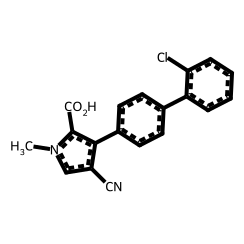 Cn1cc(C#N)c(-c2ccc(-c3ccccc3Cl)cc2)c1C(=O)O